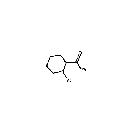 CC(=O)N1CCCCC1C(=O)C(C)C